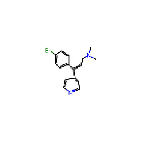 CN(C)CC=C(c1ccncc1)c1ccc(Br)cc1